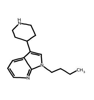 CCCCn1cc(C2CCNCC2)c2cccnc21